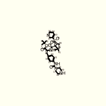 CC(C)(C)OC(=O)[C@H](Cc1ccc(NC(=O)N2CCNCC2)cc1)NC(=O)[C@H]1N(S(=O)(=O)c2cccnc2)CSC1(C)C